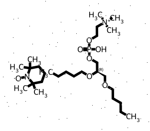 CC1(C)CCCC(C)(C)N1[O].CCCCCOC[C@H](COP(=O)(O)OCC[N+](C)(C)C)OCCCCC